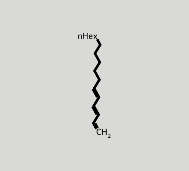 C=CC=CC=CCCCCCCC[CH]CCC